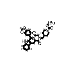 CC(C)(C)OC(=O)N1CCC(CN2CC(=O)N3C(Cc4c([nH]c5ccccc45)C3c3ccc4c(c3)OCO4)C2=O)CC1